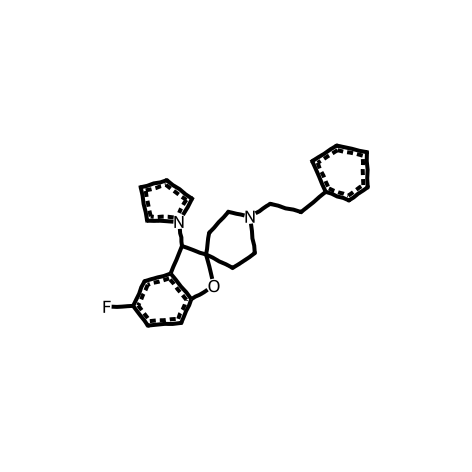 Fc1ccc2c(c1)C(n1cccc1)C1(CCN(CCc3ccccc3)CC1)O2